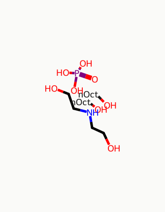 CCCCCCCCO.CCCCCCCCO.O=P(O)(O)O.OCCNCCO